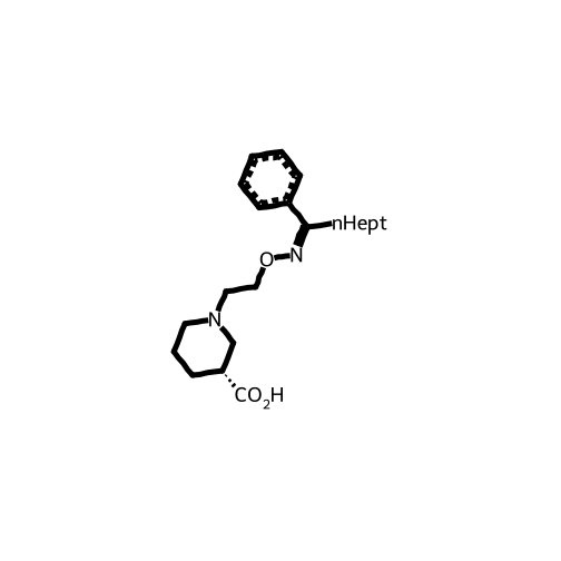 CCCCCCCC(=NOCCN1CCC[C@@H](C(=O)O)C1)c1ccccc1